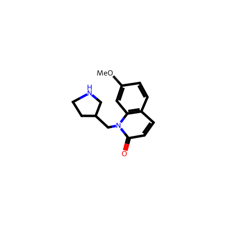 COc1ccc2ccc(=O)n(CC3CCNC3)c2c1